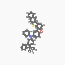 CC1(C)c2ccccc2-c2cc(N(c3ccccc3)c3ccc4oc5ccc6c7cc8ccccc8cc7sc6c5c4c3)ccc21